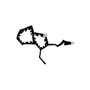 CCc1c(CC=O)oc2ccccc12